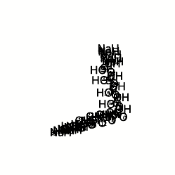 O=[Si](O)O.O=[Si](O)O.O=[Si](O)O.O=[Si](O)O.O=[Si](O)O.O=[Si](O)O.O=[Si](O)O.O=[Si](O)O.O=[Si](O)O.[NaH].[NaH].[NaH].[NaH].[NaH].[NaH].[NaH].[NaH].[NaH].[NaH].[NaH]